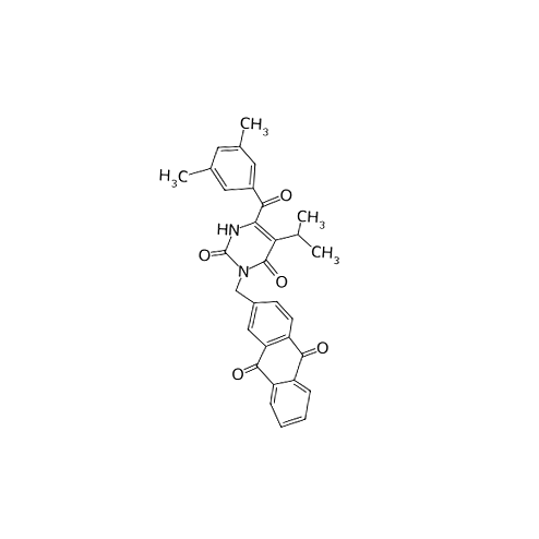 Cc1cc(C)cc(C(=O)c2[nH]c(=O)n(Cc3ccc4c(c3)C(=O)c3ccccc3C4=O)c(=O)c2C(C)C)c1